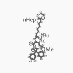 CCCCCCCC1(CCCCCCC(C[C@H](C(=O)N2OC(c3ccccc3)(c3ccccc3)[C@@H]2C(C)C)C(CCOC)C(C)=O)OC(C)(C)C)OCCO1